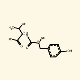 CC(O)[C@H](NC(=O)[C@@H](N)Cc1ccc(O)cc1)C(=O)O